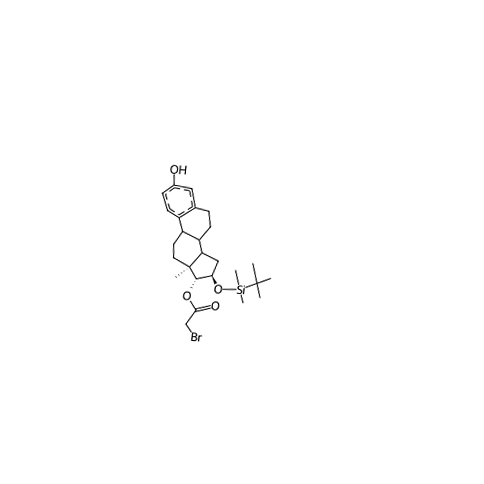 CC(C)(C)[Si](C)(C)O[C@@H]1CC2C3CCc4cc(O)ccc4C3CC[C@]2(C)[C@H]1OC(=O)CBr